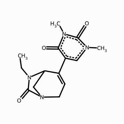 CCN1C(=O)N2CC=C(c3cn(C)c(=O)n(C)c3=O)C1C2